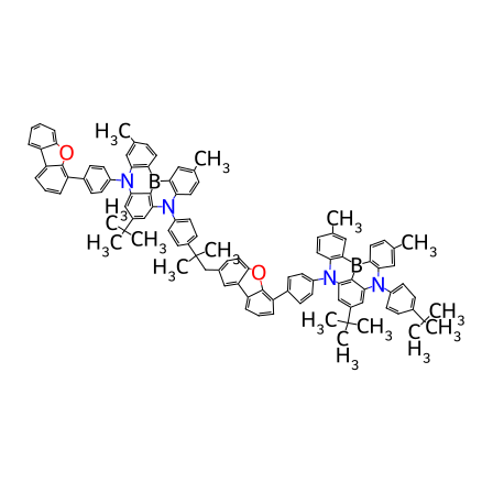 Cc1ccc2c(c1)B1c3ccc(C)cc3N(c3ccc(-c4cccc5c4oc4ccccc45)cc3)c3cc(C(C)(C)C)cc(c31)N2c1ccc(C(C)(C)Cc2ccc3oc4c(-c5ccc(N6c7ccc(C)cc7B7c8ccc(C)cc8N(c8ccc(C(C)(C)C)cc8)c8cc(C(C)(C)C)cc6c87)cc5)cccc4c3c2)cc1